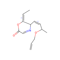 C=CCOC(C)/C=C\C1N=CC(=O)O/C1=C/C